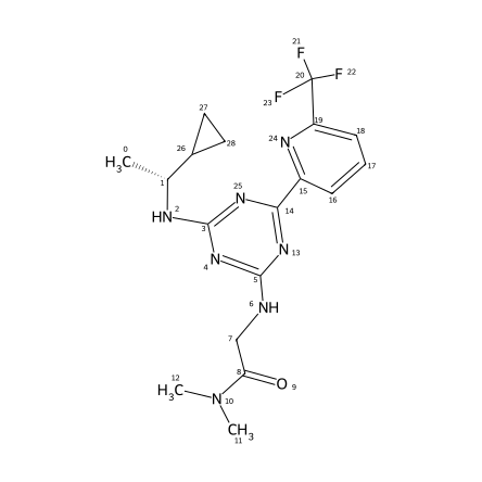 C[C@@H](Nc1nc(NCC(=O)N(C)C)nc(-c2cccc(C(F)(F)F)n2)n1)C1CC1